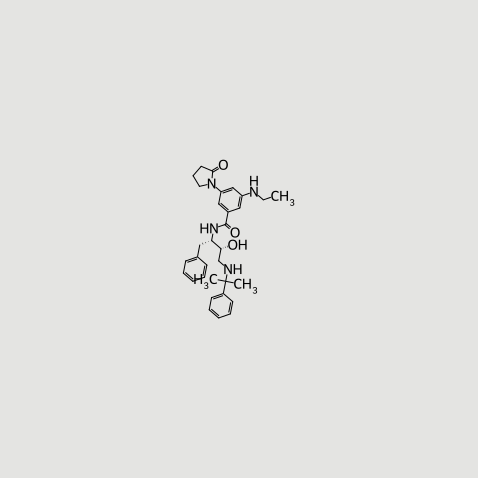 CCNc1cc(C(=O)N[C@@H](Cc2ccccc2)[C@H](O)CNC(C)(C)c2ccccc2)cc(N2CCCC2=O)c1